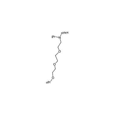 CCCCCCN(CCOCCOCCOCCC)C(C)C